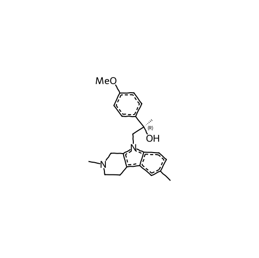 COc1ccc([C@@](C)(O)Cn2c3c(c4cc(C)ccc42)CCN(C)C3)cc1